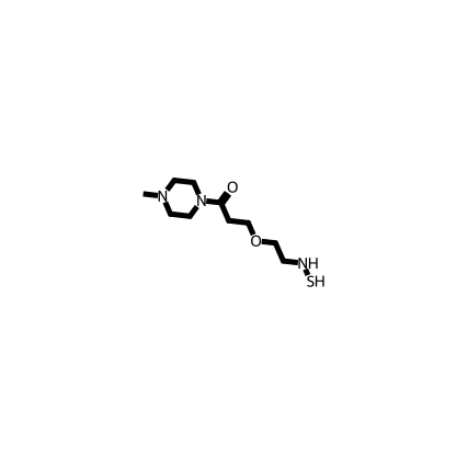 CN1CCN(C(=O)CCOCCNS)CC1